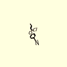 CC=CC(Cl)Oc1ccc(C#N)cc1